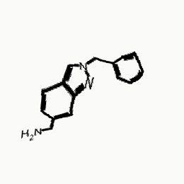 NCc1ccc2cn(Cc3ccccc3)nc2c1